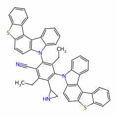 CCc1c(C#N)c(-n2c3ccccc3c3c4c(ccc32)sc2ccccc24)c(CC)c(-n2c3ccccc3c3c4c(ccc32)sc2ccccc24)c1C1CN1